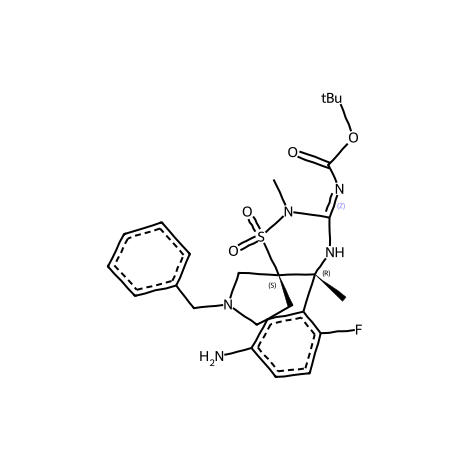 CN1/C(=N\C(=O)OC(C)(C)C)N[C@](C)(c2cc(N)ccc2F)[C@@]2(CCN(Cc3ccccc3)C2)S1(=O)=O